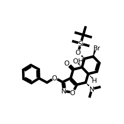 CN(C)[C@@H]1c2onc(OCc3ccccc3)c2C(=O)[C@@]2(O)[C@H](O[Si](C)(C)C(C)(C)C)[C@@H](Br)C=C[C@@H]12